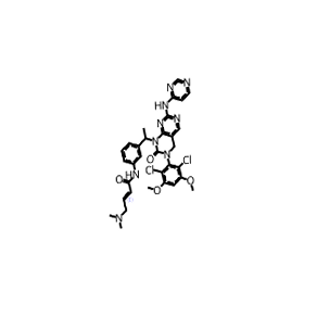 COc1cc(OC)c(Cl)c(N2Cc3cnc(Nc4ccncn4)nc3N(C(C)c3cccc(NC(=O)/C=C/CN(C)C)c3)C2=O)c1Cl